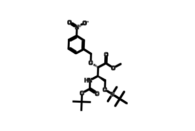 COC(=O)[C@@H](OCc1cccc([N+](=O)[O-])c1)[C@@H](CO[Si](C)(C)C(C)(C)C)NC(=O)OC(C)(C)C